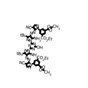 CCOC(=O)c1cc(C2OC(C)O2)cc(-n2ncc(C#N)c2N=Nc2c(C(C)(C)C)nn(-c3nc(O)nc(-n4nc(C(C)(C)C)c(N=Nc5c(C#N)cnn5-c5cc(C(=O)OCC)cc(C6OC(C)O6)c5)c4N)n3)c2N)c1